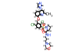 Cc1cc(-n2ccnc2)c2cccc(OCc3c(Cl)ccc(S(=O)(=O)N4CCC[C@H]4C(=O)NCCCN4CCOCC4)c3Cl)c2n1